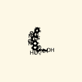 C[C@@](O)(C(=O)NCCO)c1ccc2c(c1)CCc1c-2noc1-c1noc(-c2ccccc2)c1C(F)(F)F